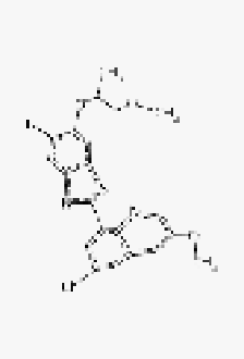 COCC(C)Oc1cc2sc(-c3cc(Cl)cc4cc(OC)cnc34)nc2cc1F